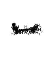 CC(=O)N[C@H]1[C@H](OCCCCC(=O)NCCOCCOCO[C@@H]2[C@H](O)[C@@H](CO)O[C@H]2n2cnc3c(NC(=O)c4ccccc4)ncnc32)O[C@H](COC(C)=O)[C@H](OC(C)=O)[C@@H]1OC(C)=O